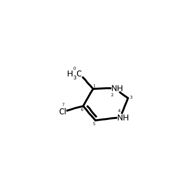 CC1NCNC=C1Cl